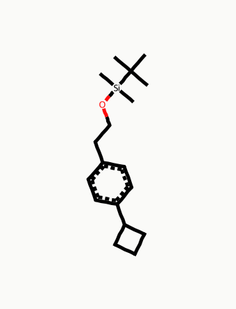 CC(C)(C)[Si](C)(C)OCCc1ccc(C2CCC2)cc1